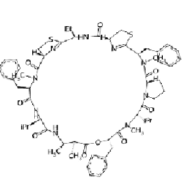 CC[C@H]1NC(=O)[C@@H]2CSC(=N2)[C@@H](Cc2ccccc2)N(C)C(=O)[C@@H]2CCCN2C(=O)[C@H](C(C)C)N(C)C(=O)[C@H](Cc2ccccc2)OC(=O)[C@H](C)[C@@H](C)NC(=O)[C@@H](C(C)C)NC(=O)[C@@H](Cc2ccccc2)N(C)C(=O)[C@@H]2CSC1=N2